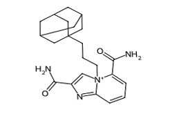 NC(=O)C1=C[N+]2(CCCC34CC5CC(CC(C5)C3)C4)C(C(N)=O)=CC=CC2=N1